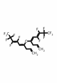 C=CCC(=CC(F)=C(F)C(F)(F)C(F)(F)F)OC(=CC(F)=C(F)C(F)(F)C(F)(F)F)CC=C